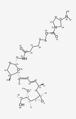 CO[C@H]([C@@H](C)[C@H]1O[C@]1(C)C[C@H](C)/C=C/C=C(\C)[C@H]1O[C@@H](CNC(=O)CCCCCOC(=O)N2CCC(N(C)I)C2)CC[C@@H]1C)[C@@H](C)O